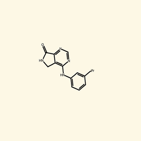 CC(C)c1cccc(Nc2ncnc3c2CNC3=O)c1